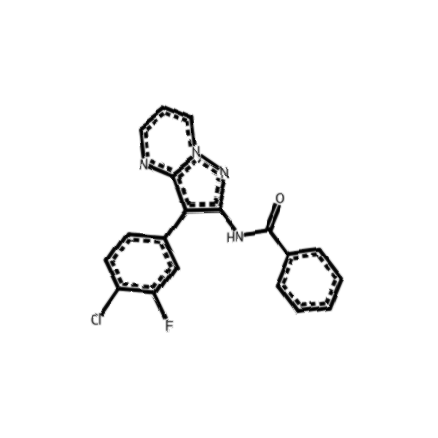 O=C(Nc1nn2cccnc2c1-c1ccc(Cl)c(F)c1)c1ccccc1